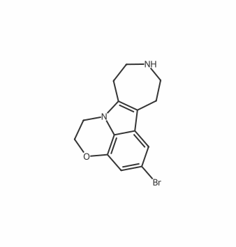 Brc1cc2c3c(c1)c1c(n3CCO2)CCNCC1